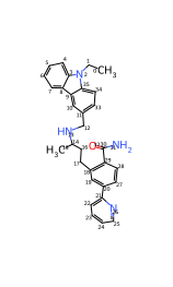 CCn1c2ccccc2c2cc(CNC(C)CCc3cc(-c4ccccn4)ccc3C(N)=O)ccc21